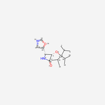 CC(C)[Si](O[C@@H]1C(=O)N[C@@H]1c1cnco1)(C(C)C)C(C)C